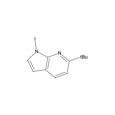 CC(C)(C)c1ccc2ccn(I)c2n1